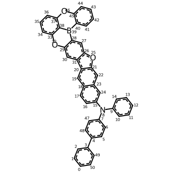 c1ccc(-c2ccc(N(c3ccccc3)c3ccc4cc5c(cc4c3)oc3cc4c(cc35)Oc3cccc5c3B4c3ccccc3O5)cc2)cc1